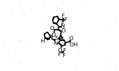 O=C(O)c1cc(OC(F)(F)F)c2nc(N3C[C@H]4CC[C@]3(OC(=O)c3c(-c5ccccc5C(F)(F)F)noc3C3CC3)C4)sc2c1